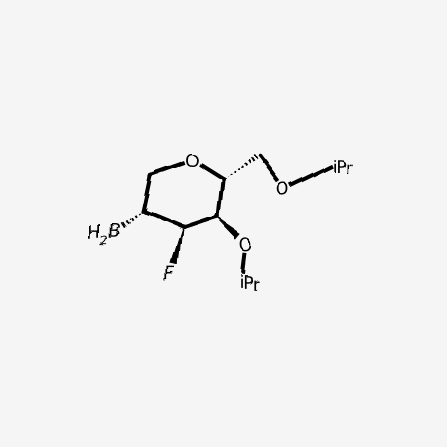 B[C@@H]1CO[C@H](COC(C)C)[C@@H](OC(C)C)[C@H]1F